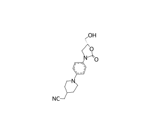 N#CCC1CCN(c2ccc(N3C[C@H](CO)OC3=O)cc2)CC1